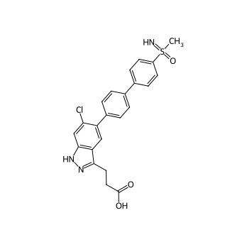 CS(=N)(=O)c1ccc(-c2ccc(-c3cc4c(CCC(=O)O)n[nH]c4cc3Cl)cc2)cc1